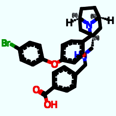 O=C(O)c1ccc(CNC[C@@H]2C[C@H]3CC[C@@H](C2)N3Cc2ccc(Oc3ccc(Br)cc3)cc2)cc1